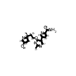 COc1ccc([C@@H](C)[C@H](C)COc2nc(C)ncc2-c2ccc(C(N)=O)nc2)nc1